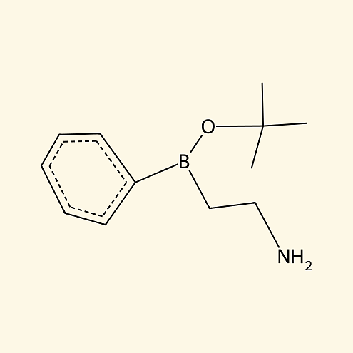 CC(C)(C)OB(CCN)c1ccccc1